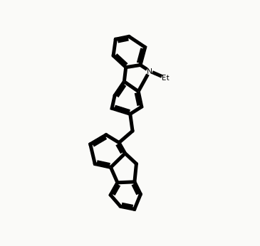 CCn1c2ccccc2c2ccc(Cc3cccc4c3Cc3ccccc3-4)cc21